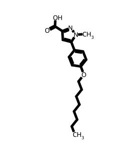 CCCCCCCCOc1ccc(-c2cc(C(=O)O)nn2C)cc1